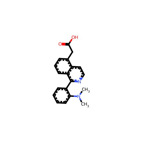 CN(C)c1ccccc1-c1nccc2c(CC(=O)O)cccc12